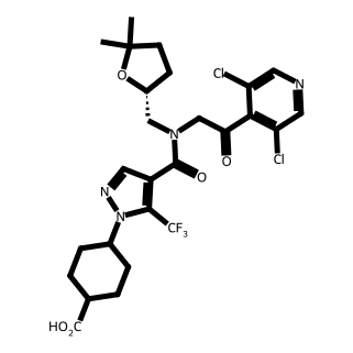 CC1(C)CC[C@H](CN(CC(=O)c2c(Cl)cncc2Cl)C(=O)c2cnn(C3CCC(C(=O)O)CC3)c2C(F)(F)F)O1